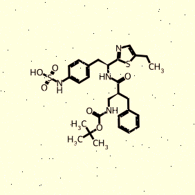 CCc1cnc([C@H](Cc2ccc(NS(=O)(=O)O)cc2)NC(=O)[C@H](CNC(=O)OC(C)(C)C)Cc2ccccc2)s1